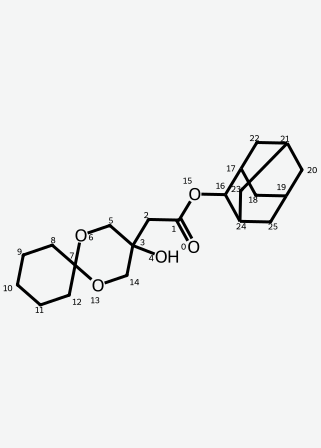 O=C(CC1(O)COC2(CCCCC2)OC1)OC1C2CC3CC(C2)CC1C3